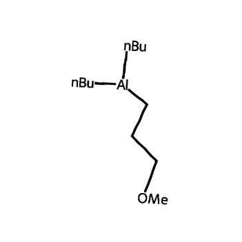 CCC[CH2][Al]([CH2]CCC)[CH2]CCOC